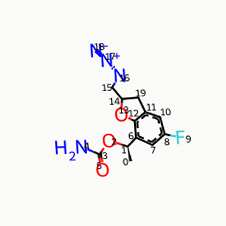 C[C@@H](OC(N)=O)c1cc(F)cc2c1OC(CN=[N+]=[N-])C2